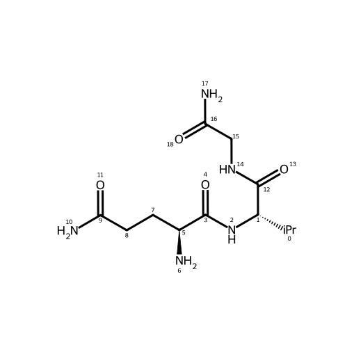 CC(C)[C@H](NC(=O)[C@@H](N)CCC(N)=O)C(=O)NCC(N)=O